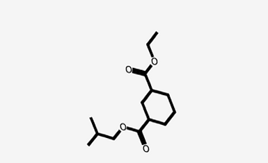 CCOC(=O)C1CCCC(C(=O)OCC(C)C)C1